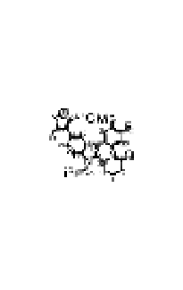 COc1ccc(N2C(=O)CCC[C@H]2c2nc3cc(-c4c(C)noc4C)cnc3n2CC(C)C)cc1F